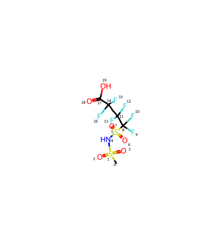 CS(=O)(=O)NS(=O)(=O)C(F)(F)C(F)(F)C(F)(F)C(=O)O